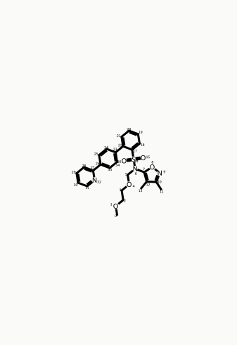 COCCOCN(c1onc(C)c1C)S(=O)(=O)c1ccccc1-c1ccc(-c2ccccn2)cc1